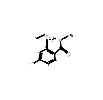 CC.CC(C)(C)OC(=O)c1ccc(F)cc1C(=O)O